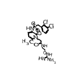 Cc1ccc(NS(=O)(=O)Cc2cccc(Cl)c2Cl)c(=O)n1CC(=O)NCCONC(=N)N